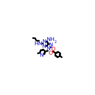 CCCCNc1nc(N)c2nc(OC(=O)c3ccc(C)cc3)n(Cc3ccc(C)nc3)c2n1